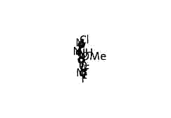 COc1cc(OCc2ncc(F)cc2F)ccc1-c1cnc(-c2ccc(Cl)nc2)[nH]1